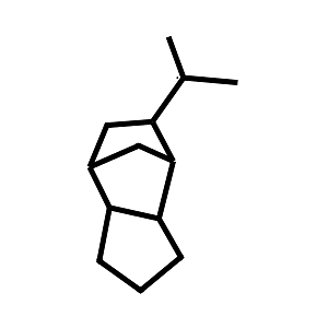 C[C](C)C1CC2CC1C1CCCC21